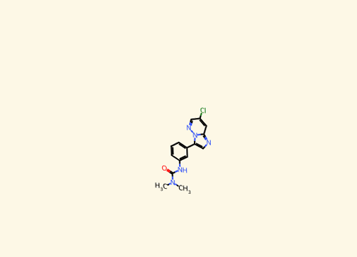 CN(C)C(=O)Nc1cccc(-c2cnc3cc(Cl)cnn23)c1